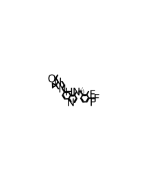 CC(=O)N1CCN(c2ccc3nccc(N[C@H](C)c4cccc(C(F)(F)F)c4C)c3c2)CC12CC2